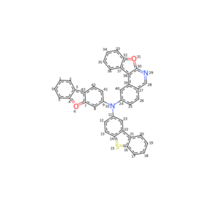 c1ccc2c(c1)oc1cc(N(c3ccc4sc5ccccc5c4c3)c3ccc4cnc5oc6ccccc6c5c4c3)ccc12